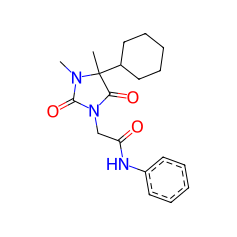 CN1C(=O)N(CC(=O)Nc2ccccc2)C(=O)C1(C)C1CCCCC1